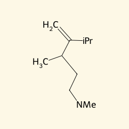 C=C(C(C)C)C(C)CCNC